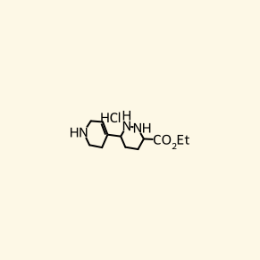 CCOC(=O)C1CCC(C2=CCNCC2)NN1.Cl